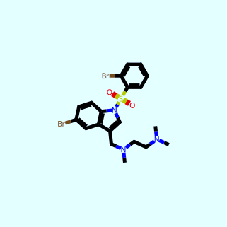 CN(C)CCN(C)Cc1cn(S(=O)(=O)c2ccccc2Br)c2ccc(Br)cc12